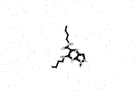 CCCCNC(=O)c1nc2cnn(C)c2nc1NCCCC